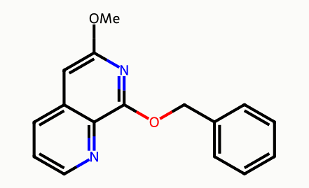 COc1cc2cccnc2c(OCc2ccccc2)n1